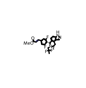 COC(=O)/C=C/c1cc(F)c([C@@H]2c3ccc4[nH]ncc4c3C[C@@H](C)N2CC(C)(F)F)c(F)c1